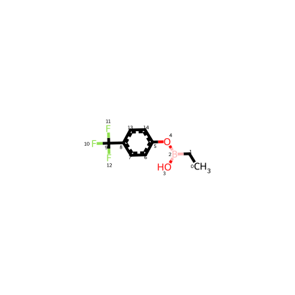 CCB(O)Oc1ccc(C(F)(F)F)cc1